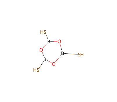 SB1OB(S)OB(S)O1